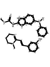 CN1CCCN=C1/C=C/c1cccc(O)c1.COC(=O)Nc1nc2cc([S+]([O-])c3ccccc3)ccc2[nH]1